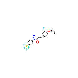 C=CC(C)(C)Oc1ccc(C=CC(=O)Nc2ccc(S(F)(F)(F)(F)F)cc2)cc1F